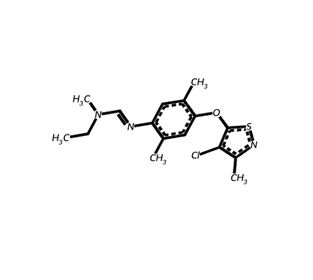 CCN(C)C=Nc1cc(C)c(Oc2snc(C)c2Cl)cc1C